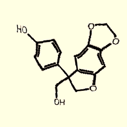 OCC1(c2ccc(O)cc2)COc2cc3c(cc21)OCO3